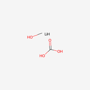 CO.O=C(O)O.[LiH]